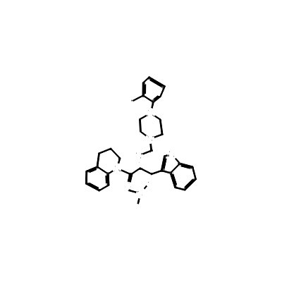 CN(C)C[C@@H](c1c[nH]c2ccccc12)[C@@H](NC(=O)N1CCN(c2ccccc2Cl)CC1)C(=O)N1CCCc2ccccc21